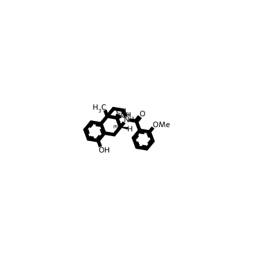 COc1ccccc1C(=O)N1CCC2(C)c3cccc(O)c3C[C@@H]1C2(C)C